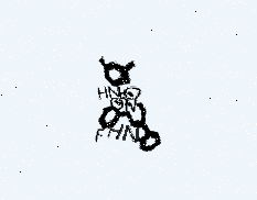 Cc1cc(C)cc(NS(=O)(=O)N2CCc3c([nH]c4ccccc34)C2c2cccc(F)c2)c1